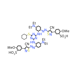 CCN(CC)c1ccc(/N=N/c2snc(-c3ccc(OC)c(S(=O)(=O)O)c3)c2C#N)c(Nc2nc(Nc3cc(N(CC)CC)ccc3/N=N/c3snc(-c4ccc(OC)c(S(=O)(=O)O)c4)c3C#N)nc(SC3CCCCC3)n2)c1